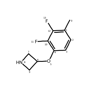 Cc1ccc(OC2CNC2)c(F)c1F